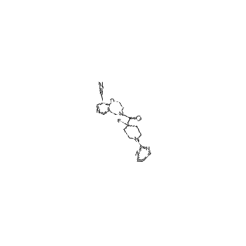 N#Cc1cncc2c1OCCN(C(=O)C1(F)CCN(c3ncccn3)CC1)C2